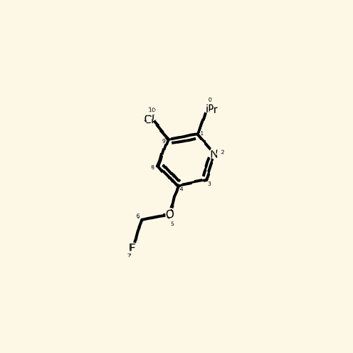 CC(C)c1ncc(OCF)cc1Cl